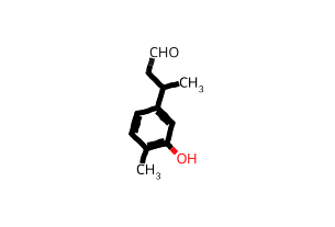 Cc1ccc(C(C)CC=O)cc1O